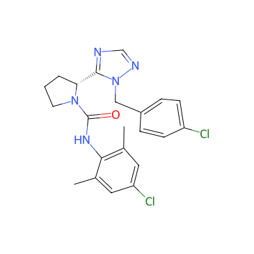 Cc1cc(Cl)cc(C)c1NC(=O)N1CCC[C@@H]1c1ncnn1Cc1ccc(Cl)cc1